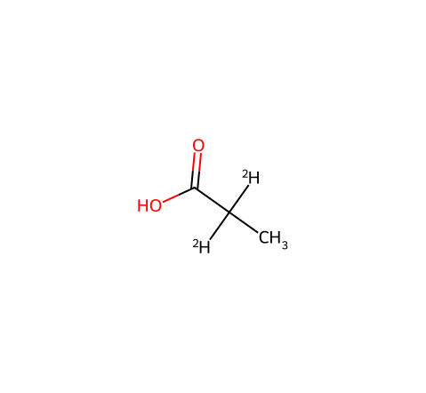 [2H]C([2H])(C)C(=O)O